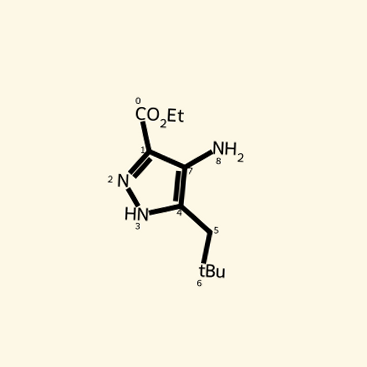 CCOC(=O)c1n[nH]c(CC(C)(C)C)c1N